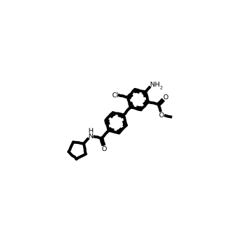 COC(=O)c1cc(-c2ccc(C(=O)NC3CCCC3)cc2)c(Cl)cc1N